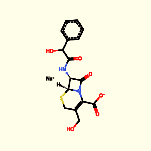 O=C([O-])C1=C(CO)CS[C@H]2[C@H](NC(=O)C(O)c3ccccc3)C(=O)N12.[Na+]